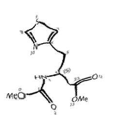 COC(=O)N[C@@H](Cc1cscn1)C(=O)OC